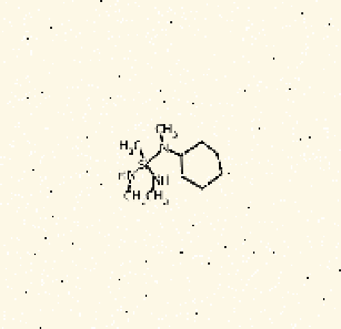 CN[Si](C)(NC)N(C)C1CCCCC1